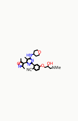 CNCC(O)COc1ccc(C#N)c(-c2nc(NC3CCOCC3)c(C)c(-c3c(C)noc3C)n2)c1